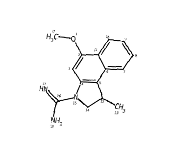 COc1cc2c(c3ccccc13)C(C)CN2C(=N)N